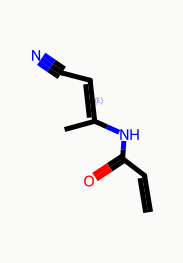 C=CC(=O)N/C(C)=C/C#N